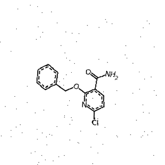 NC(=O)c1ccc(Cl)nc1OCc1ccccc1